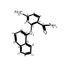 Cc1ccc(C(N)=O)c(Oc2cccc3ccccc23)n1